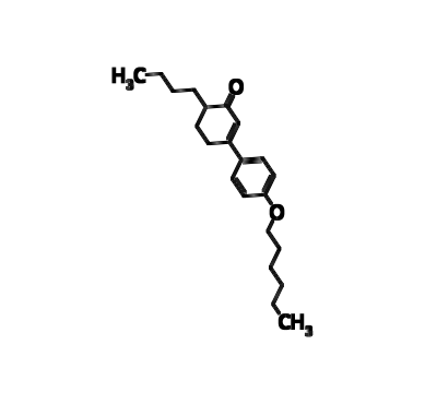 CCCCCCOc1ccc(C2=CC(=O)C(CCCC)CC2)cc1